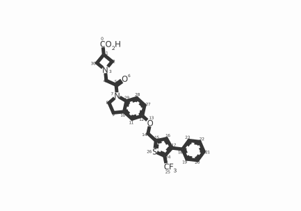 O=C(O)C1CN(CC(=O)N2CCc3cc(OCc4cc(-c5ccccc5)c(C(F)(F)F)s4)ccc32)C1